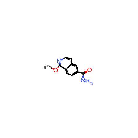 CC(C)Oc1nccc2cc(C(N)=O)ccc12